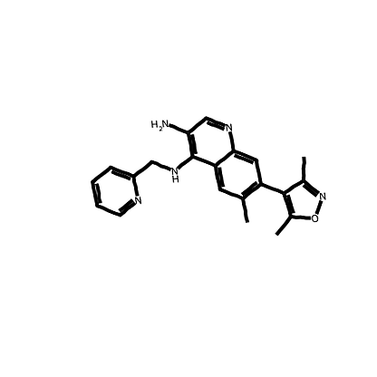 Cc1cc2c(NCc3ccccn3)c(N)cnc2cc1-c1c(C)noc1C